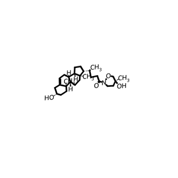 CC(CCC(=O)N1CC[C@](C)(O)CO1)[C@H]1CC[C@H]2[C@@H]3CC=C4C[C@@H](O)CC[C@]4(C)[C@H]3CC[C@]12C